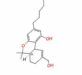 CCCCCc1cc(O)c2c(c1)OC(C)(C)[C@@H]1CCC(CO)=CC21